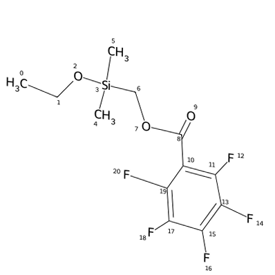 CCO[Si](C)(C)COC(=O)c1c(F)c(F)c(F)c(F)c1F